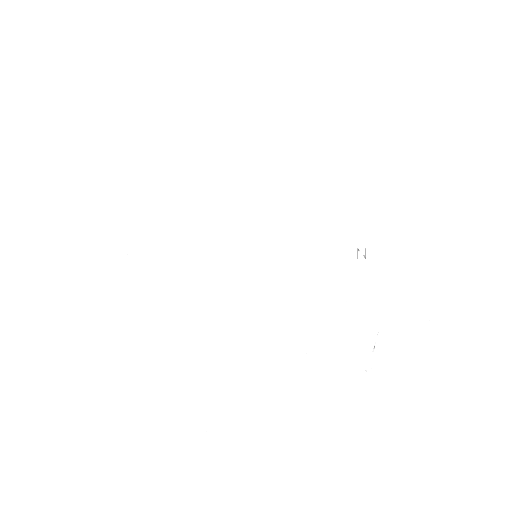 c1ccc(-c2ccccc2N(c2cccc(-c3cccc(-c4cccc5ccccc45)c3)c2)c2cc3ccccc3c3ccccc23)cc1